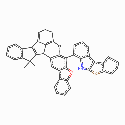 CC1(C)C2=C(C3=CCCC4=C3C2c2cc3c(oc5ccccc53)c(-c3cccc5c3[nH]c3sc6ccccc6c35)c2B4)c2ccccc21